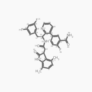 Cc1ccc(C)c2c1NC(=O)C2CC(=O)N[C@@H](Cc1cc(F)cc(F)c1)c1ncccc1-c1ccc(F)c(C(N)=O)c1